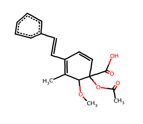 COC1C(C)=C(C=Cc2ccccc2)C=CC1(OC(C)=O)C(=O)O